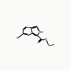 CCOC(=O)c1[nH]cc2ccc(Cl)cc12